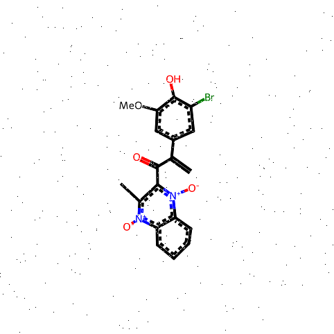 C=C(C(=O)c1c(C)[n+]([O-])c2ccccc2[n+]1[O-])c1cc(Br)c(O)c(OC)c1